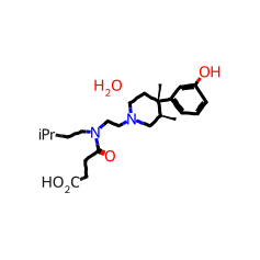 CC(C)CCN(CCN1CC[C@](C)(c2cccc(O)c2)[C@@H](C)C1)C(=O)CCC(=O)O.O